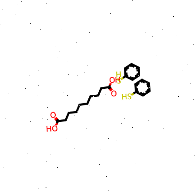 O=C(O)CCCCCCCCC(=O)O.Sc1ccccc1.Sc1ccccc1